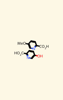 COc1ccc(C(=O)O)nc1.O=C(O)c1ccc(O)cn1